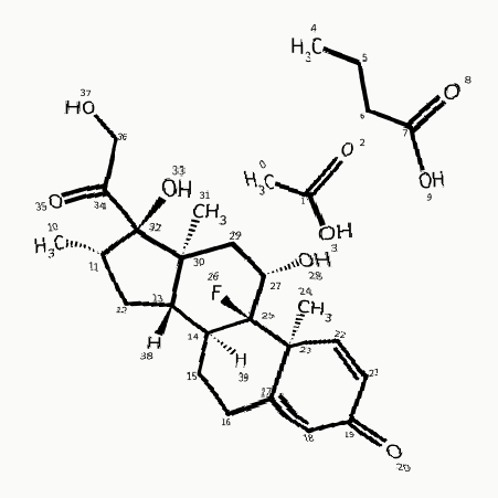 CC(=O)O.CCCC(=O)O.C[C@H]1C[C@H]2[C@@H]3CCC4=CC(=O)C=C[C@]4(C)[C@@]3(F)[C@@H](O)C[C@]2(C)[C@@]1(O)C(=O)CO